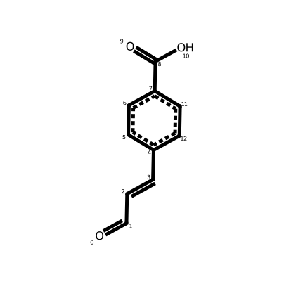 O=CC=Cc1ccc(C(=O)O)cc1